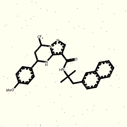 COc1ccc(C2CC(C(F)(F)F)n3ncc(C(=O)NC(C)(C)Cc4ccc5ccccc5c4)c3N2)cc1